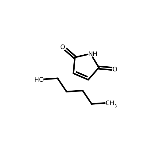 CCCCCO.O=C1C=CC(=O)N1